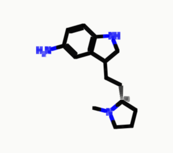 CN1CCC[C@H]1CCC1CNc2ccc(N)cc21